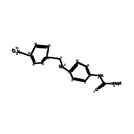 CCCCCCCC(=O)Nc1ccc(NCc2ccc([N+](=O)[O-])cc2)cc1